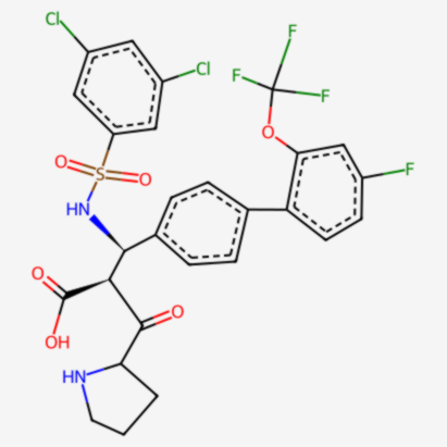 O=C(O)[C@H](C(=O)C1CCCN1)[C@@H](NS(=O)(=O)c1cc(Cl)cc(Cl)c1)c1ccc(-c2ccc(F)cc2OC(F)(F)F)cc1